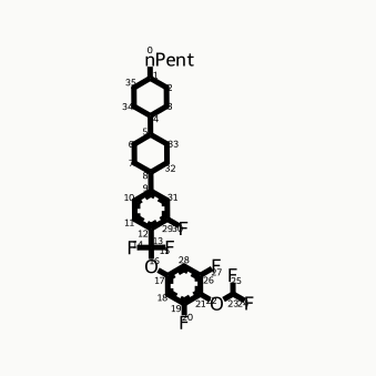 CCCCCC1CCC(C2CCC(c3ccc(C(F)(F)Oc4cc(F)c(OC(F)F)c(F)c4)c(F)c3)CC2)CC1